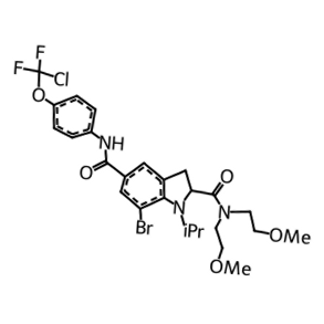 COCCN(CCOC)C(=O)C1Cc2cc(C(=O)Nc3ccc(OC(F)(F)Cl)cc3)cc(Br)c2N1C(C)C